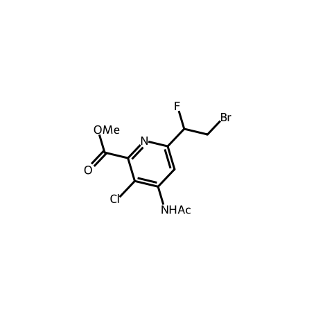 COC(=O)c1nc(C(F)CBr)cc(NC(C)=O)c1Cl